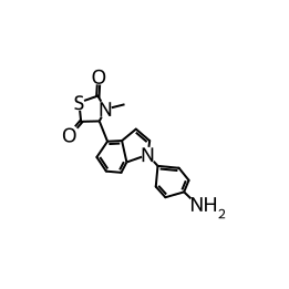 CN1C(=O)SC(=O)C1c1cccc2c1ccn2-c1ccc(N)cc1